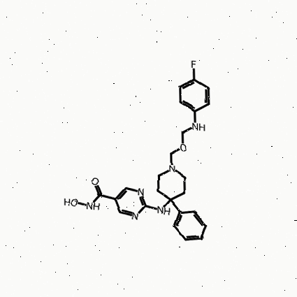 O=C(NO)c1cnc(NC2(c3ccccc3)CCN(COCNc3ccc(F)cc3)CC2)nc1